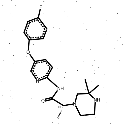 C[C@H](C(=O)Nc1ccc(Oc2ccc(F)cc2)cn1)N1CCNC(C)(C)C1